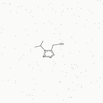 CC(C)n1nncc1CO